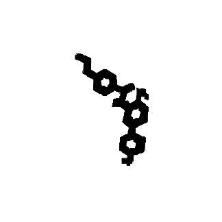 CCCc1ccc(C(=O)Nc2cc(-c3ccc([18F])cc3)ccc2N)cc1